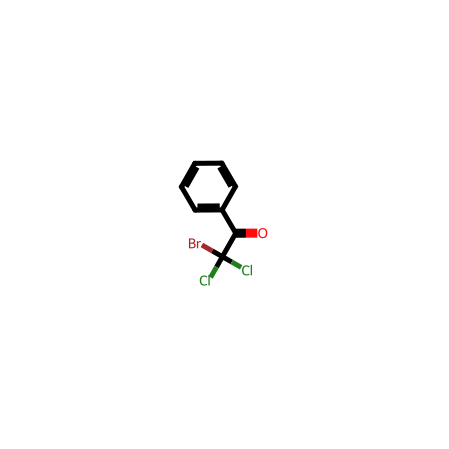 O=C(c1ccccc1)C(Cl)(Cl)Br